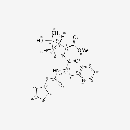 COC(=O)[C@@H]1[C@@H]2[C@H](CN1C(=O)[C@H](Cc1ccccn1)NC(=O)CC1CCOC1)C2(C)C